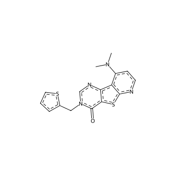 CN(C)c1ccnc2sc3c(=O)n(Cc4cccs4)cnc3c12